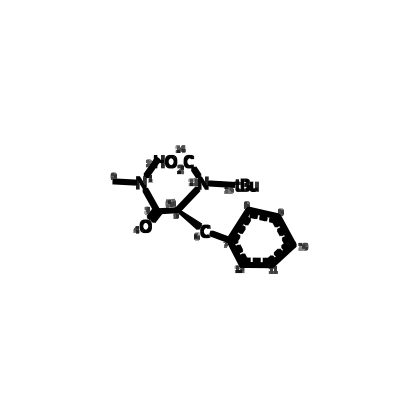 CN(C)C(=O)[C@H](Cc1ccccc1)N(C(=O)O)C(C)(C)C